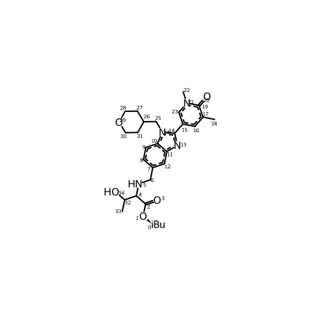 CC[C@H](C)OC(=O)C(NCc1ccc2c(c1)nc(-c1cc(C)c(=O)n(C)c1)n2CC1CCOCC1)C(C)O